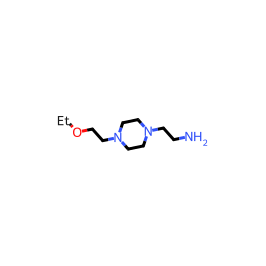 CCOCCN1CCN(CCN)CC1